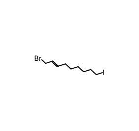 BrCC=CCCCCCCI